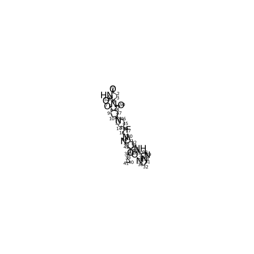 O=C1CCC(N2C(=O)c3ccc(N4CCC([C@H](F)Cn5cc6cc(NC(=O)c7cnn8cccnc78)c(OCC7CC7)cc6n5)CC4)cc3C2=O)C(=O)N1